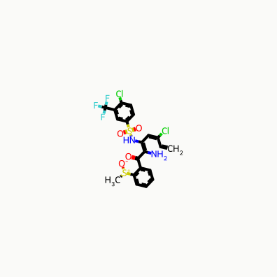 C=C/C(Cl)=C\C(NS(=O)(=O)c1ccc(Cl)c(C(F)(F)F)c1)=C(/N)C(=O)c1ccccc1[S+](C)[O-]